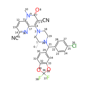 C[C@@H]1CN(c2c(C#N)c(=O)n(C)c3ccc(C#N)nc23)CCN1C(c1ccc(Cl)cc1)c1ccc2c(c1)OC(F)(F)O2